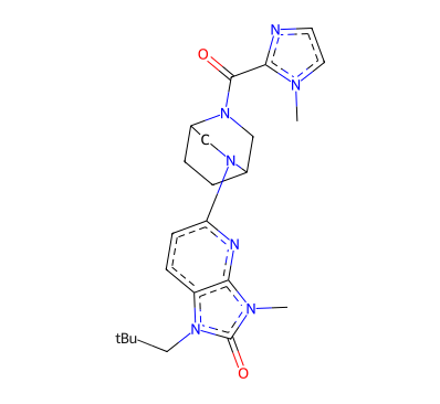 Cn1ccnc1C(=O)N1CC2CCC1CN2c1ccc2c(n1)n(C)c(=O)n2CC(C)(C)C